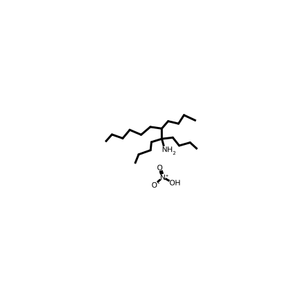 CCCCCCC(CCCC)C(N)(CCCC)CCCC.O=[N+]([O-])O